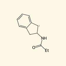 CCC(=O)NC1[C]c2ccccc2C1